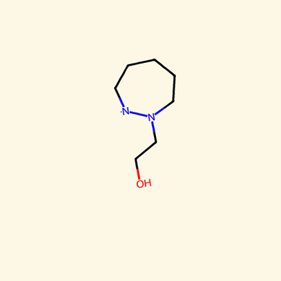 OCCN1CCCCC[N]1